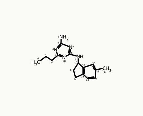 CCCc1nc(N)nc(NC2CCc3ccc(C)cc32)n1